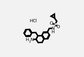 Cl.NC1CCc2ccc(CNS(=O)(=O)CC3CC3)cc2C1Cc1ccccc1